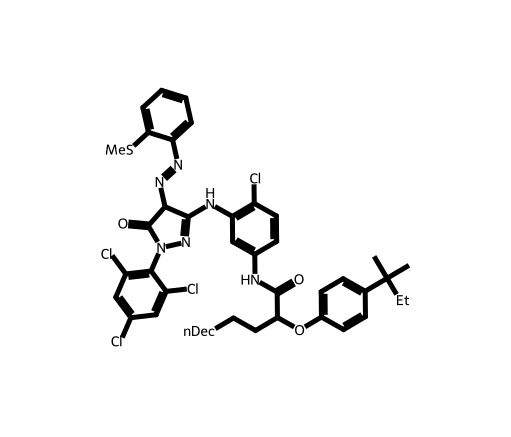 CCCCCCCCCCCCC(Oc1ccc(C(C)(C)CC)cc1)C(=O)Nc1ccc(Cl)c(NC2=NN(c3c(Cl)cc(Cl)cc3Cl)C(=O)C2N=Nc2ccccc2SC)c1